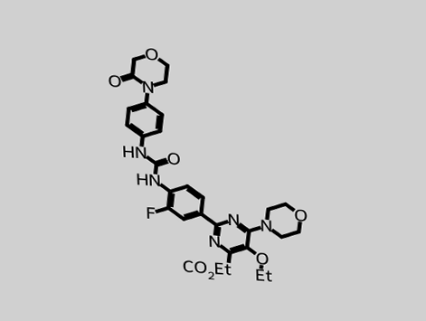 CCOC(=O)c1nc(-c2ccc(NC(=O)Nc3ccc(N4CCOCC4=O)cc3)c(F)c2)nc(N2CCOCC2)c1OCC